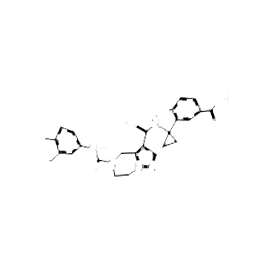 CN(C(=O)c1cnn2c1CN(C(=O)Nc1ccc(F)c(Cl)c1)CC2)C1(c2cccc(C(=O)O)c2)CC1